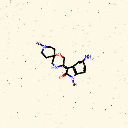 CC(C)N1CCC2(CC1)CN/C(=C1\C(=O)N(C(C)C)c3ccc(N)cc31)CO2